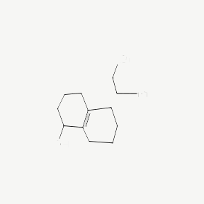 CC(C)C(CC(C)(C)C)[C@@H]1CCCC2=C1CCCC2O